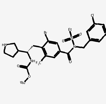 CCS(=O)(=O)N(Cc1cccc(Cl)c1)C(=O)c1cc(Br)c(C[C@H](NC(=O)OC(C)(C)C)C2CCNC2)c(C(F)(F)F)c1